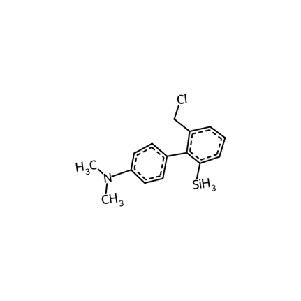 CN(C)c1ccc(-c2c([SiH3])cccc2CCl)cc1